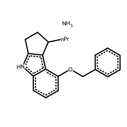 CCCC1CCc2[nH]c3cccc(OCc4ccccc4)c3c21.N